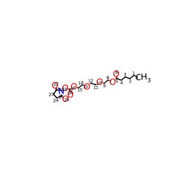 CCCCCC(=O)OCCOCCOCCOC(=O)ON1C(=O)CCC1=O